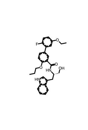 CCCOc1ccc(-c2cc(OCC)ccc2F)cc1C(=O)N[C@H](CO)Cc1c[nH]c2ccccc12